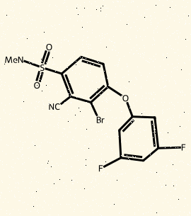 CNS(=O)(=O)c1ccc(Oc2cc(F)cc(F)c2)c(Br)c1C#N